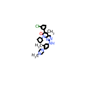 Cc1cc(Nc2ncc3c(C)c(-c4cccc(Cl)c4)c(=O)n(C4CCCCC4)c3n2)ccc1N1CCN(C)CC1